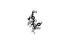 C[C@@]1(N)CNc2c1cc(C(O)(CNC(=O)c1ccc(OCCO)c(OC3CC3)c1)C(F)(F)F)nc2-c1ccc(F)cc1